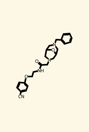 N#Cc1ccc(OCCNC(=O)CN2CC3CN(Cc4ccccc4)CC(C2)O3)cc1